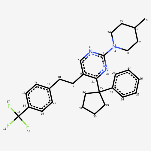 CC1CCN(c2ncc(CCc3ccc(C(F)(F)F)cc3)c(C3(c4ccccc4)CCCC3)n2)CC1